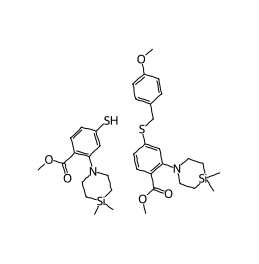 COC(=O)c1ccc(S)cc1N1CC[Si](C)(C)CC1.COC(=O)c1ccc(SCc2ccc(OC)cc2)cc1N1CC[Si](C)(C)CC1